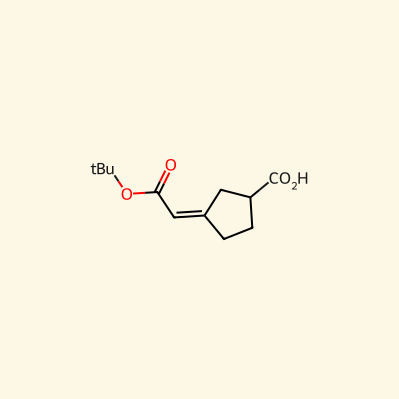 CC(C)(C)OC(=O)/C=C1/CCC(C(=O)O)C1